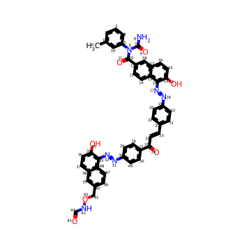 Cc1cccc(N(C(N)=O)C(=O)c2ccc3c(N=Nc4ccc(C=CC(=O)c5ccc(N=Nc6c(O)ccc7cc(CONC=O)ccc67)cc5)cc4)c(O)ccc3c2)c1